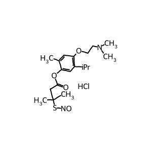 Cc1cc(OCCN(C)C)c(C(C)C)cc1OC(=O)CC(C)(C)SN=O.Cl